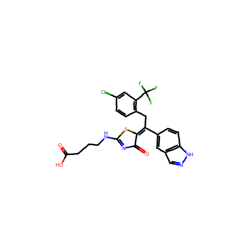 O=C(O)CCCNC1=NC(=O)C(=C(Cc2ccc(Cl)cc2C(F)(F)F)c2ccc3[nH]ncc3c2)S1